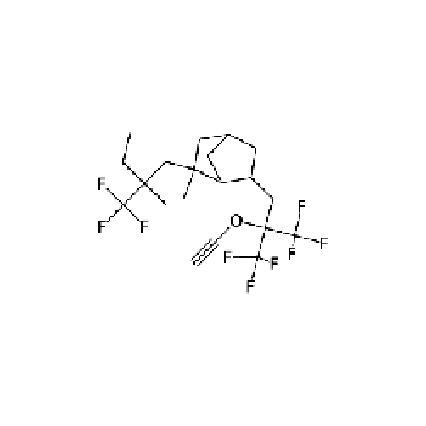 C#COC(CC1CC2CC1C(C)(CC(C)(CC)C(F)(F)F)C2)(C(F)(F)F)C(F)(F)F